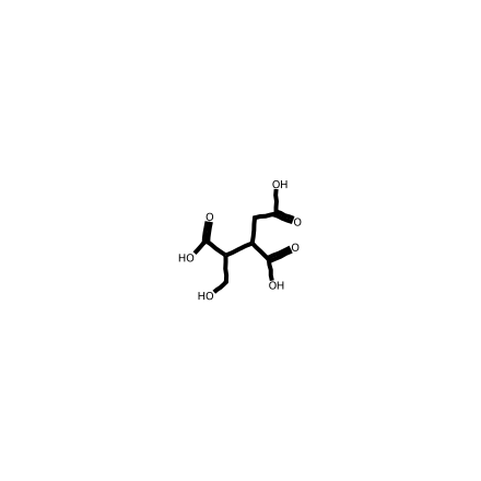 O=C(O)CC(C(=O)O)C(CO)C(=O)O